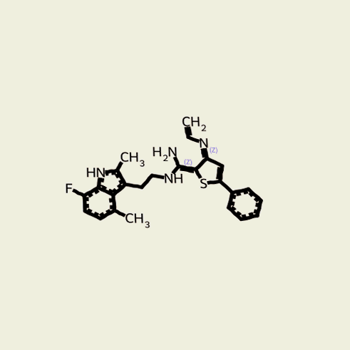 C=C/N=C1/C=C(c2ccccc2)S/C1=C(/N)NCCc1c(C)[nH]c2c(F)ccc(C)c12